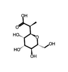 C[C@H](C(=O)O)[C@H]1O[C@H](CO)[C@@H](O)[C@H](O)[C@@H]1O